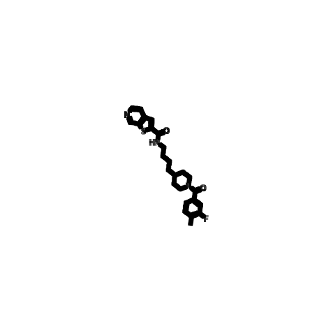 Cc1ccc(C(=O)N2CCC(CCCCNC(=O)c3cc4ccncc4s3)CC2)cc1F